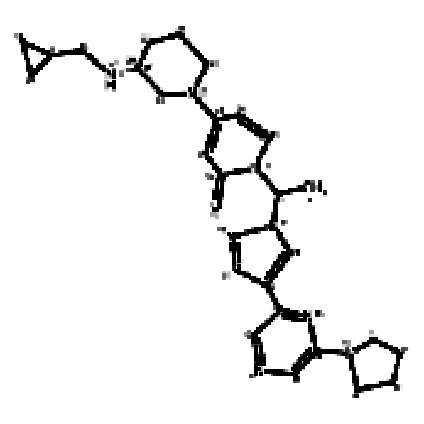 CC(n1cc(-c2cncc(N3CCCC3)n2)nn1)n1ccc(N2CCC[C@@H](NCC3CC3)C2)cc1=O